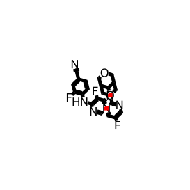 N#Cc1ccc(Nc2ncnc(OC3C4COCC3CN(c3ncc(F)cn3)C4)c2F)c(F)c1